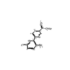 COC(=O)c1cnc(-c2nc(Cl)ccc2N)cn1